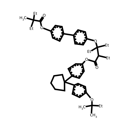 CCC(C(=O)Oc1ccc(C2(c3ccc(OC(C)(C)CC)cc3)CCCCC2)cc1)C(CC)(CC)Oc1ccc(-c2ccc(OC(=O)C(C)(CC)CC)cc2)cc1